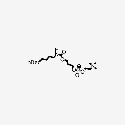 CCCCCCCCCCCCCCNC(=O)OCCCOP(=O)([O-])OCC[N+](C)(C)C